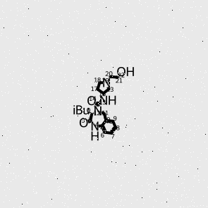 CC[C@H](C)[C@H]1C(=O)Nc2ccccc2CN1C(=O)N[C@H]1CCN(CCO)C1